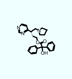 O=C(OCC[C@@H](CN1CCCC1)c1ccncn1)C(O)(c1ccccc1)c1ccccc1